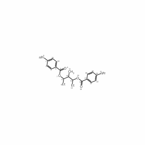 CCCc1ccc(C(=O)OC(CC)C(C)C(CC)OC(=O)c2ccc(CCC)cc2)cc1